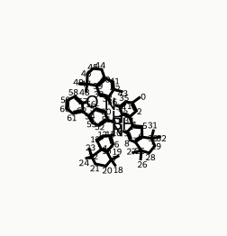 Cc1cc(-c2cc3c(cc2Nc2ccc4c(c2)C(C)(C)CCC4(C)C)C(C)(C)CCC3(C)C)c2c(c1)N(c1cc3c(cc1C)CCCC3(C)C)c1c(ccc3c1oc1ccccc13)B2